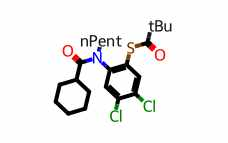 CCCCCN(C(=O)C1CCCCC1)c1cc(Cl)c(Cl)cc1SC(=O)C(C)(C)C